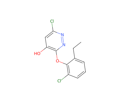 CCc1cccc(Cl)c1Oc1nnc(Cl)cc1O